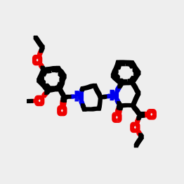 CCOC(=O)C1Cc2ccccc2N(C2CCN(C(=O)c3ccc(OCC)cc3OC)CC2)C1=O